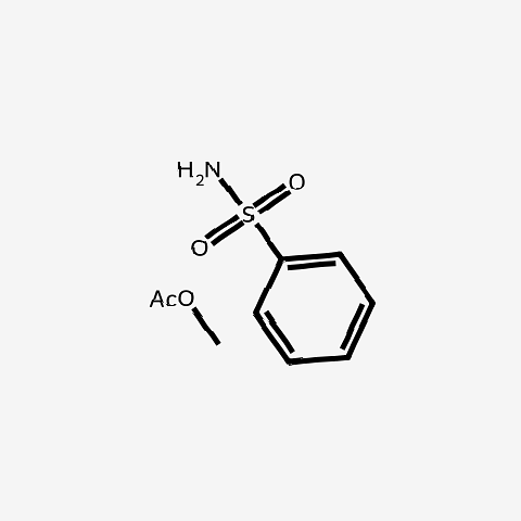 COC(C)=O.NS(=O)(=O)c1ccccc1